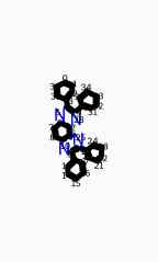 c1ccc(-c2nc3ccc4nc(-c5ccccc5)c(-c5ccccc5)nc4c3nc2-c2ccccc2)cc1